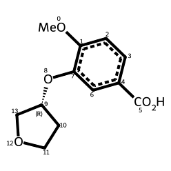 COc1ccc(C(=O)O)cc1O[C@@H]1CCOC1